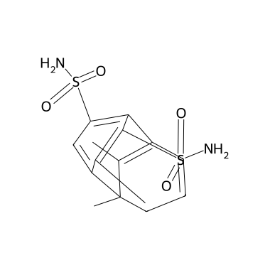 CC1=C2C=CCC1(C)c1cc(S(N)(=O)=O)c2c(S(N)(=O)=O)c1C